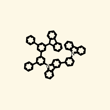 c1ccc(-c2cc(-c3cc(-c4ccccc4)cc(-n4c5ccccc5c5cc(-c6cccc(-n7c8ccccc8c8ccccc87)c6)ccc54)c3)cc(C3c4ccccc4-c4ccccc43)c2)cc1